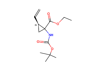 C=C[C@@H]1CC1(NC(=O)OC(C)(C)C)C(=O)OCC